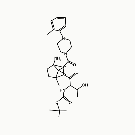 Cc1ccccc1N1CCN(C(=O)C2C(C(=O)C(NC(=O)OC(C)(C)C)C(C)O)C3(C)CCC2(N)C3(C)C)CC1